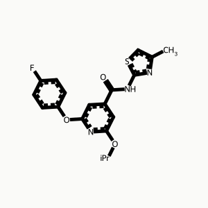 Cc1csc(NC(=O)c2cc(Oc3ccc(F)cc3)nc(OC(C)C)c2)n1